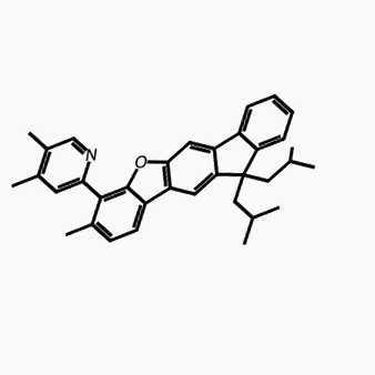 Cc1cnc(-c2c(C)ccc3c2oc2cc4c(cc23)C(CC(C)C)(CC(C)C)c2ccccc2-4)cc1C